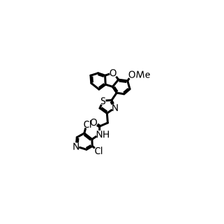 COc1ccc(-c2nc(CC(=O)Nc3c(Cl)cncc3Cl)cs2)c2c1oc1ccccc12